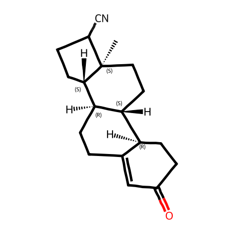 C[C@]12CC[C@H]3[C@@H](CCC4=CC(=O)CC[C@@H]43)[C@@H]1CCC2C#N